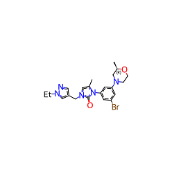 CCn1cc(Cn2cc(C)n(-c3cc(Br)cc(N4CCO[C@H](C)C4)c3)c2=O)cn1